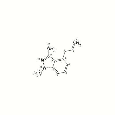 C=CCc1cccc2c1c(N)nn2N